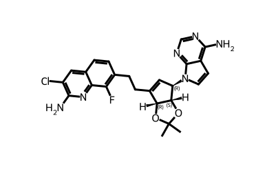 CC1(C)O[C@@H]2[C@H](O1)C(CCc1ccc3cc(Cl)c(N)nc3c1F)=C[C@H]2n1ccc2c(N)ncnc21